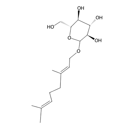 CC(C)=CCC/C(C)=C/COC1O[C@H](CO)[C@@H](O)[C@H](O)[C@H]1O